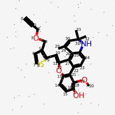 C#CCOCc1ccsc1/C=C1\Oc2ccc(O)c(OC)c2-c2ccc3c(c21)C(C)=CC(C)(C)N3